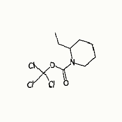 CCC1CCCCN1C(=O)OC(Cl)(Cl)Cl